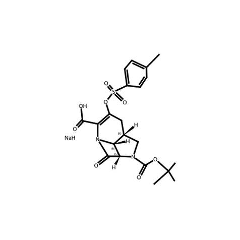 Cc1ccc(S(=O)(=O)OC2=C(C(=O)O)N3C(=O)[C@@H]4[C@H]3[C@H](C2)CN4C(=O)OC(C)(C)C)cc1.[NaH]